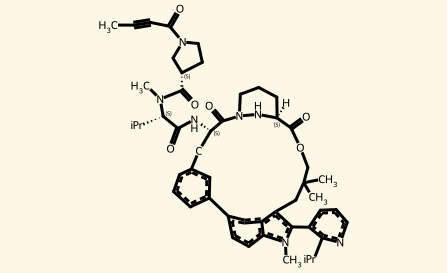 CC#CC(=O)N1CC[C@H](C(=O)N(C)[C@H](C(=O)N[C@H]2Cc3cccc(c3)-c3ccc4c(c3)c(c(-c3cccnc3C(C)C)n4C)CC(C)(C)COC(=O)[C@@H]3CCCN(N3)C2=O)C(C)C)C1